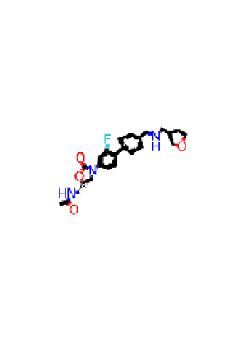 CC(=O)NC[C@H]1CN(c2ccc(-c3ccc(CNCC4CCOC4)cc3)c(F)c2)C(=O)O1